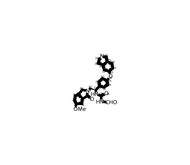 COc1ccc2c(c1)C(=O)N(C[C@H](NC(=O)NC=O)c1ccc(Oc3ccc4cnccc4c3)cc1)C2